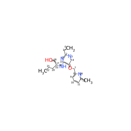 C=Cc1ncc(OCc2cccc(C)n2)c(N[C@H](CO)CCC)n1